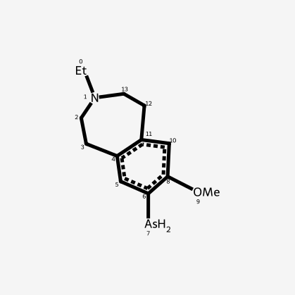 CCN1CCc2cc([AsH2])c(OC)cc2CC1